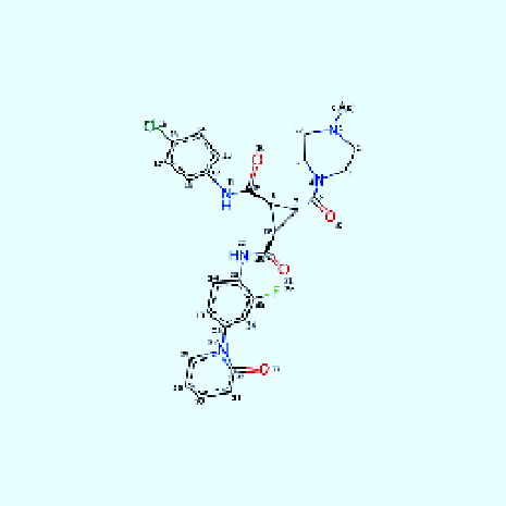 CC(=O)N1CCN(C(=O)[C@H]2[C@H](C(=O)Nc3ccc(Cl)cc3)[C@@H]2C(=O)Nc2ccc(-n3ccccc3=O)cc2F)CC1